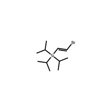 CC(C)[Si](C=CBr)(C(C)C)C(C)C